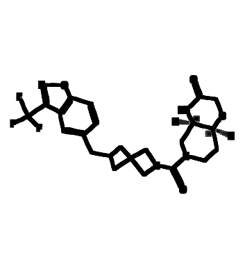 O=C1CO[C@H]2CCN(C(=O)N3CC4(CC(Cc5ccc6onc(C(F)(F)F)c6c5)C4)C3)C[C@H]2N1